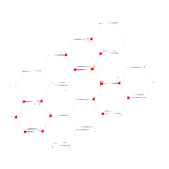 c1ccc(P(c2ccccc2)c2ccc3ccc4ccccc4c3c2-c2c(P(c3ccccc3)c3ccccc3)ccc3ccc4ccccc4c23)cc1